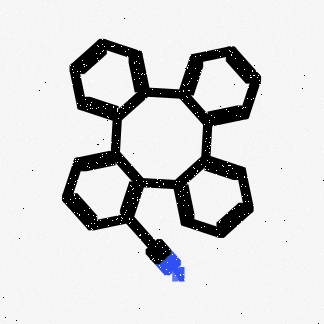 N#Cc1cccc2c1-c1ccccc1-c1ccccc1-c1ccccc1-2